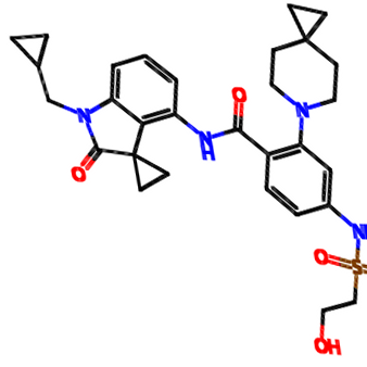 O=C(Nc1cccc2c1C1(CC1)C(=O)N2CC1CC1)c1ccc(NS(=O)(=O)CCO)cc1N1CCC2(CC1)CC2